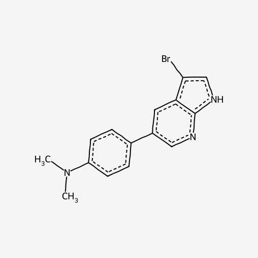 CN(C)c1ccc(-c2cnc3[nH]cc(Br)c3c2)cc1